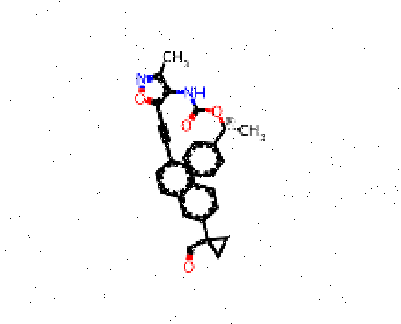 Cc1noc(C#Cc2ccc3cc(C4(C=O)CC4)ccc3c2)c1NC(=O)O[C@H](C)c1ccccc1